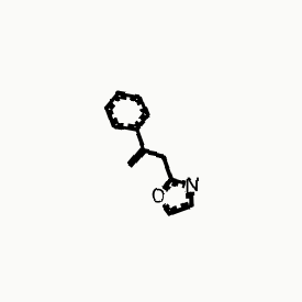 C=C(Cc1ncco1)c1ccccc1